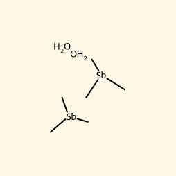 O.O.[CH3][Sb]([CH3])[CH3].[CH3][Sb]([CH3])[CH3]